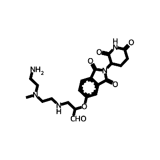 CN(CCN)CCNCC(C=O)Oc1ccc2c(c1)C(=O)N(C1CCC(=O)NC1=O)C2=O